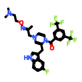 C/C(CN1C=CN(C(=O)c2cc(C(F)(F)F)cc(C(F)(F)F)c2)C(Cc2c[nH]c3ccc(F)cc23)=C1)=N\OCCN(C)C